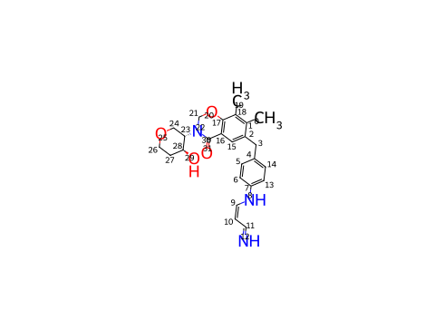 Cc1c(Cc2ccc(N/C=C\C=N)cc2)cc2c(c1C)OCN([C@H]1COCC[C@@H]1O)C2=O